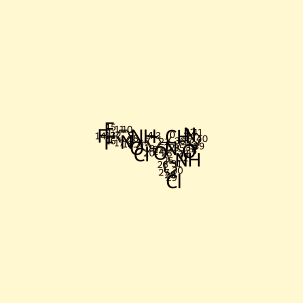 CC(c1ccc(C(=O)Nc2ccc(C(F)(F)F)cn2)c(Cl)c1)N1C(=O)c2ccc(Cl)cc2NC(=O)C1Cc1ccccn1